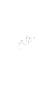 CC(C)(C)CCNC(=O)/C=C\C(=N)c1cnc(OCC(F)(F)F)nc1